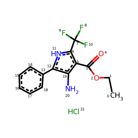 CCOC(=O)c1c(C(F)(F)F)[nH]c(-c2ccccc2)c1N.Cl